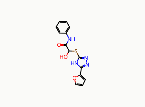 O=C(Nc1ccccc1)C(O)Sc1nnc(-c2ccco2)[nH]1